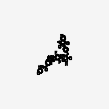 Cn1c(=O)n(-c2ccc(C[C@H](NC(=O)c3cc(F)c(NS(=O)(=O)c4ccc(C(=O)NC5CCOCC5)cn4)cc3F)C(=O)O)cc2)c(=O)c2ccncc21